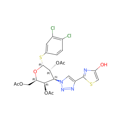 CC(=O)OC[C@H]1O[C@H](Sc2ccc(Cl)c(Cl)c2)[C@H](OC(C)=O)[C@@H](n2cc(-c3nc(O)cs3)nn2)[C@H]1OC(C)=O